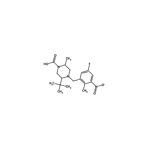 Cc1c(CN2CC(C)N(C(=O)O)CC2C(C)(C)C)cc(F)cc1[N+](=O)[O-]